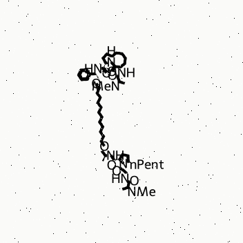 CCCCC[C@H]1CC[C@@H](C(=O)N[C@@H](C)COCCCCCCCCCCCCOC[C@@H](NC(=O)[C@@H]2CC[C@@H]3CCCC[C@H](NC(=O)[C@H](C)NC)C(=O)N32)c2ccccc2)N1C(=O)CNC(=O)[C@H](C)NC